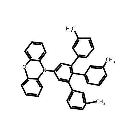 Cc1cccc(-c2cc(N3c4ccccc4Oc4ccccc43)cc(-c3cccc(C)c3)c2-c2cccc(C)c2)c1